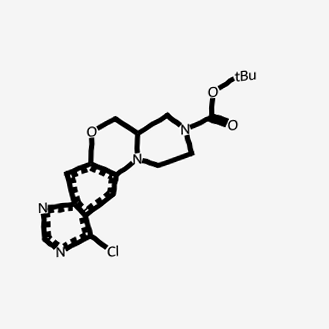 CC(C)(C)OC(=O)N1CCN2c3cc4c(Cl)ncnc4cc3OCC2C1